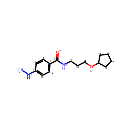 NNc1ccc(C(=O)NCCCOC2CCCC2)cc1